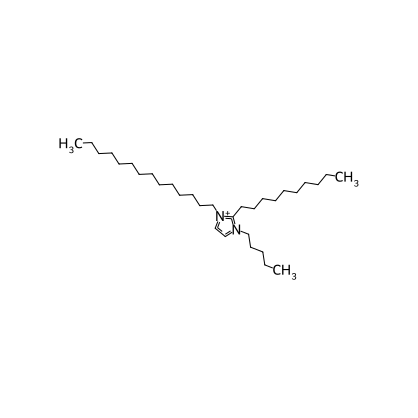 CCCCCCCCCCCCCC[n+]1ccn(CCCCC)c1CCCCCCCCCC